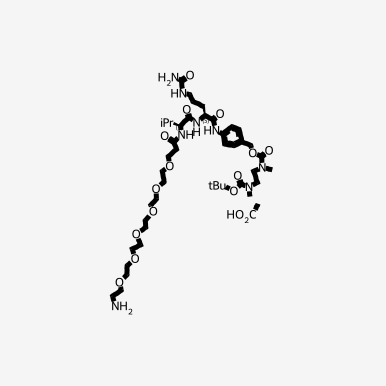 CC(=O)O.CC(C)[C@H](NC(=O)CCOCCOCCOCCOCCOCCOCCN)C(=O)N[C@@H](CCCNC(N)=O)C(=O)Nc1ccc(COC(=O)N(C)CCN(C)C(=O)OC(C)(C)C)cc1